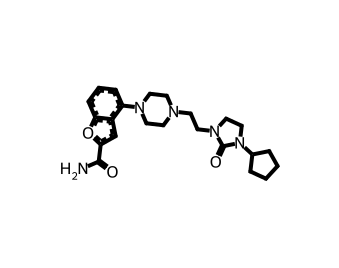 NC(=O)c1cc2c(N3CCN(CCN4CCN(C5CCCC5)C4=O)CC3)cccc2o1